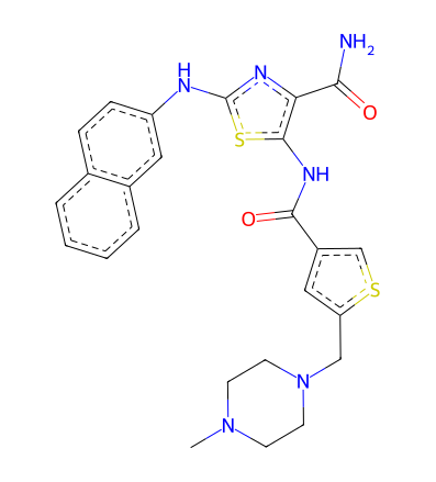 CN1CCN(Cc2cc(C(=O)Nc3sc(Nc4ccc5ccccc5c4)nc3C(N)=O)cs2)CC1